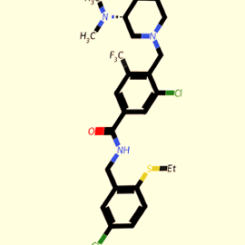 CCSc1ccc(Cl)cc1CNC(=O)c1cc(Cl)c(CN2CCC[C@@H](N(C)C)C2)c(C(F)(F)F)c1